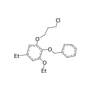 CCOc1cc(CC)cc(OCCCCl)c1OCc1ccccc1